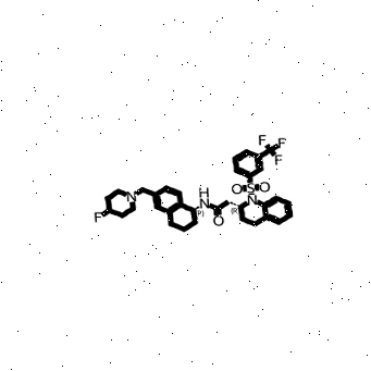 O=C(C[C@H]1CCc2ccccc2N1S(=O)(=O)c1cccc(C(F)(F)F)c1)N[C@@H]1CCCc2cc(CN3CCC(F)CC3)ccc21